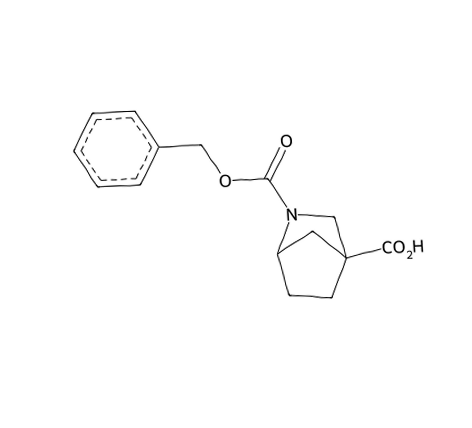 O=C(OCc1ccccc1)N1CC2(C(=O)O)CCC1C2